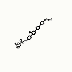 C=C(CO)C(=O)OCCc1ccc(-c2ccc(-c3ccc(C4CCC(CCCCC)CC4)cc3)cc2F)cc1